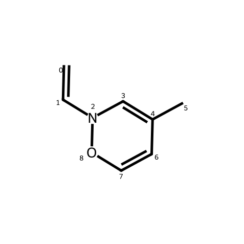 C=CN1C=C(C)C=CO1